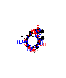 CC1CC1[C@@H]1NC(=O)[C@H](CNO)NC(=O)[C@@H]2CCCN2C(=O)[C@H](CC(N)=O)NC(=O)CN(C)C(=O)[C@H](Cc2ccc(O)cc2)C(N)CC[C@@H](C(=O)N[C@@H](Cc2cn(CC(=O)O)c3ccccc23)C(=O)N(C)C)NC(=O)[C@H](Cc2c[nH]c3ccccc23)NC(=O)[C@@H]2C[C@@H](O)CN2C1=O